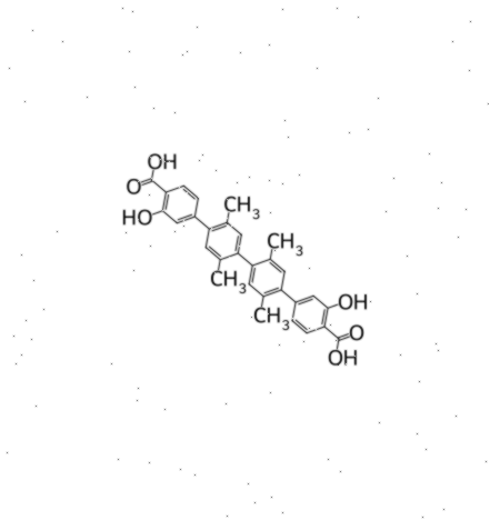 Cc1cc(-c2cc(C)c(-c3ccc(C(=O)O)c(O)c3)cc2C)c(C)cc1-c1ccc(C(=O)O)c(O)c1